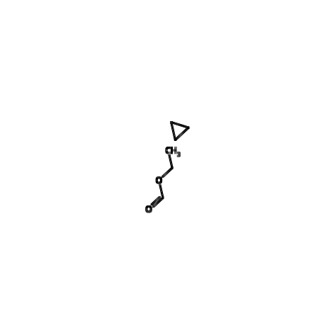 C1CC1.CCOC=O